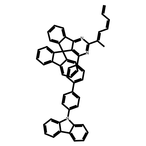 C=C/C=C\C=C(/C)c1nc(-c2ccc(-c3ccc(-n4c5ccccc5c5ccccc54)cc3)cc2)c2c(n1)-c1ccccc1C21c2ccccc2-c2ccccc21